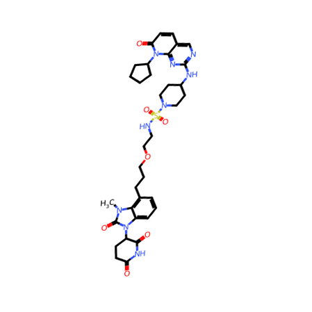 Cn1c(=O)n(C2CCC(=O)NC2=O)c2cccc(CCCOCCNS(=O)(=O)N3CCC(Nc4ncc5ccc(=O)n(C6CCCC6)c5n4)CC3)c21